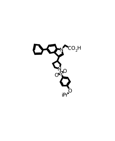 CC(C)Oc1ccc(S(=O)(=O)N2CCC(c3cn(CC(=O)O)c4ccc(-c5ccccc5)cc34)C2)cc1